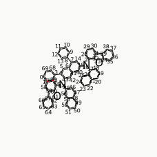 c1ccc(-c2cc3c(-c4ccccc4)cc(N(c4cccc5ccccc45)c4cccc5c4oc4ccccc45)cc3cc2N(c2ccc3ccccc3c2)c2cccc3c2oc2ccccc23)cc1